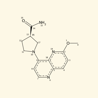 COc1ccc2nccc(N3CC[C@@H](C(N)=O)C3)c2n1